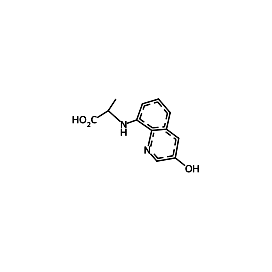 CC(Nc1cccc2cc(O)cnc12)C(=O)O